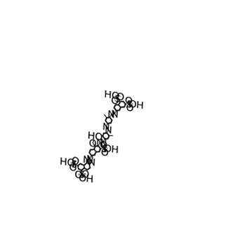 COc1c(N=Nc2cc(C)c(N=Nc3ccc(N=Nc4ccc5c(S(=O)(=O)O)cc(S(=O)(=O)O)cc5c4)c(C)c3)cc2O)c(S(=O)(=O)O)cc2cc(-n3nc4ccc5c(S(=O)(=O)O)cc(S(=O)(=O)O)cc5c4n3)ccc12